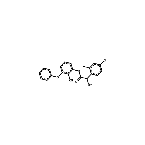 Cc1cc(Cl)ccc1C(C(=O)Oc1cccc(Oc2ccccc2)c1C#N)C(C)C